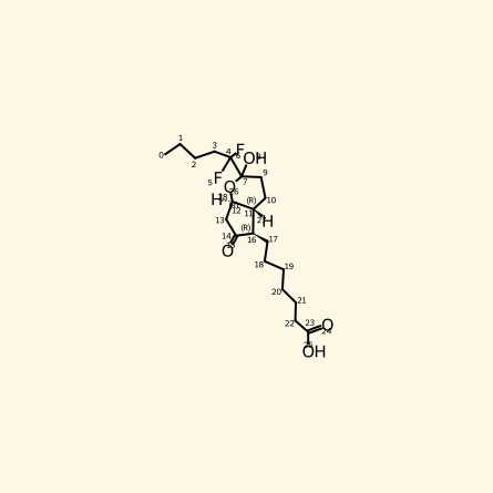 CCCCC(F)(F)C1(O)CC[C@H]2[C@@H](CC(=O)[C@@H]2CCCCCCC(=O)O)O1